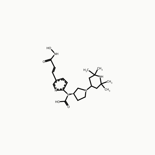 CC1(C)CC(N2CC[C@@H](N(C(=O)O)c3ccc(C=CC(=O)NO)cn3)C2)CC(C)(C)N1